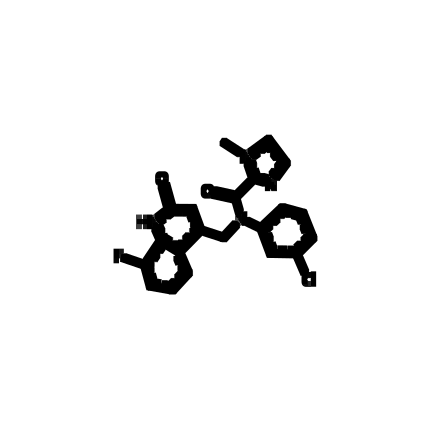 Cn1ccnc1C(=O)N(Cc1cc(=O)[nH]c2c(F)cccc12)c1cccc(Cl)c1